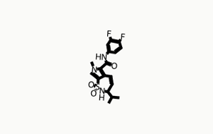 CC(C)C1C=Cc2c(cn(C)c2C(=O)Nc2ccc(F)c(F)c2)S(=O)(=O)N1